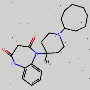 CC1(N2C(=O)CC(=O)Nc3ccccc32)CCN(C2CCCCCCC2)CC1